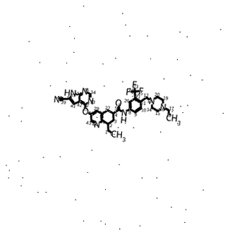 CCC1CC(C(=O)Nc2ccc(CN3CCN(CC)CC3)c(C(F)(F)F)c2)Cc2cc(Oc3ncnc4[nH]c(C#N)cc34)cnc21